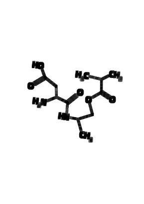 CC(COC(=O)C(C)C)NC(=O)C(N)CC(=O)O